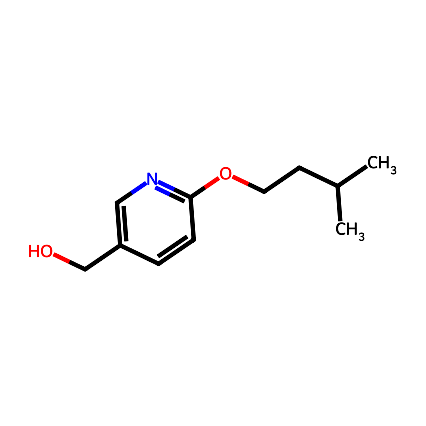 CC(C)CCOc1ccc(CO)cn1